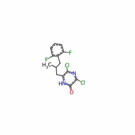 CC(Cc1[nH]c(=O)c(Cl)nc1Cl)Cc1c(F)cccc1F